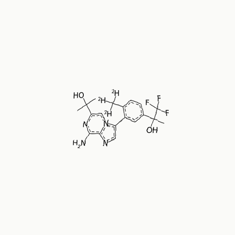 [2H]C([2H])([2H])c1ccc(C(C)(O)C(F)(F)F)cc1-c1cnc2c(N)nc(C(C)(C)O)cn12